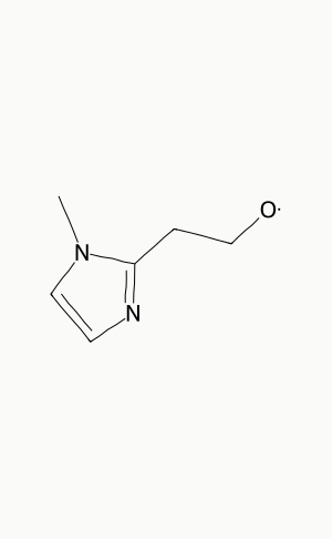 Cn1ccnc1CC[O]